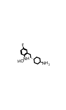 N[C@H]1CC[C@H](CCc2cc(F)ccc2NO)CC1